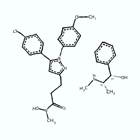 CN[C@@H](C)[C@@H](O)c1ccccc1.COc1ccc(-n2nc(CCC(=O)N(C)O)cc2-c2ccc(Cl)cc2)cc1